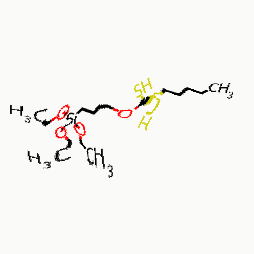 CCCCC[SH]=C(S)OCCC[Si](OCC)(OCC)OCC